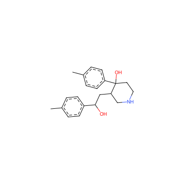 Cc1ccc(C(O)CC2CNCCC2(O)c2ccc(C)cc2)cc1